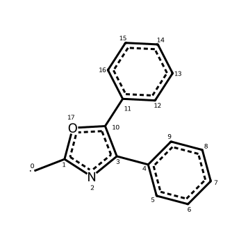 [CH2]c1nc(-c2ccccc2)c(-c2ccccc2)o1